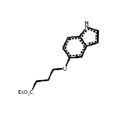 CCOC(=O)CCCOc1ccc2[nH]ccc2c1